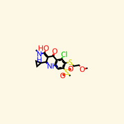 CN/C(O)=C(\C(=N)C1CC1)C(=O)c1ccc(S(C)(=O)=O)c(SCCOC)c1Cl